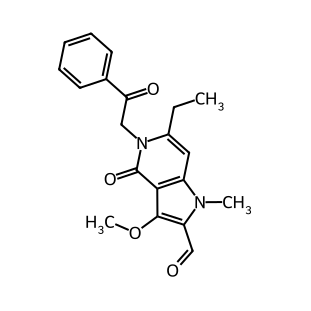 CCc1cc2c(c(OC)c(C=O)n2C)c(=O)n1CC(=O)c1ccccc1